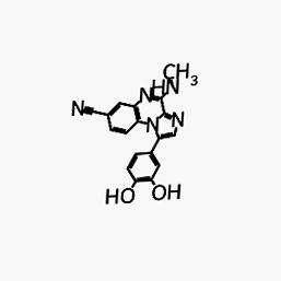 CNc1nc2cc(C#N)ccc2n2c(-c3ccc(O)c(O)c3)cnc12